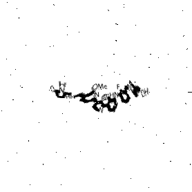 COc1nc(-c2ccnc(-c3cccc(Nc4cccc(CN5CC(CO)C5)c4F)c3Cl)c2Cl)ccc1CNCC1CCC(=O)N1